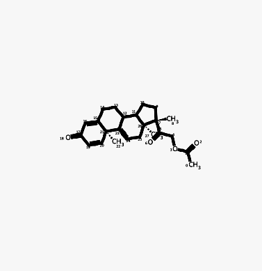 CC(=O)OCC(=O)[C@@]1(C)CCC2C3CCC4=CC(=O)C=C[C@]4(C)C3=CC[C@@]21C